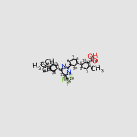 Cc1ccc(-c2cccc(-c3nc(-c4ccc(C(C)(C)C)cc4)cc(C(F)(F)F)n3)c2)cc1C(=O)O